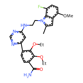 CCOc1c(C(N)=O)ccc(-c2cc(NCCn3c(C)cc4c(OC)ccc(F)c43)ncn2)c1OCC